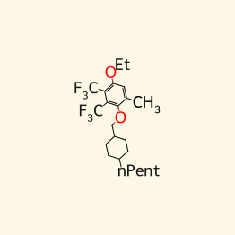 CCCCCC1CCC(COc2c(C)cc(OCC)c(C(F)(F)F)c2C(F)(F)F)CC1